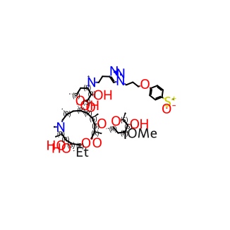 CC[C@H]1OC(=O)[C@H](C)[C@@H](OC[C@H]2C[C@@](C)(OC)[C@@H](O)[C@H](C)O2)[C@H](C)[C@@H](O[C@@H]2O[C@H](C)C[C@H](N(C)CCc3cn(CCCOc4ccc([S+](C)[O-])cc4)nn3)[C@H]2O)[C@](C)(O)C[C@@H](C)CN(C)[C@H](C)[C@@H](O)[C@]1(C)O